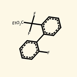 CCOC(=O)C(F)(F)c1ccccc1-c1ccccc1F